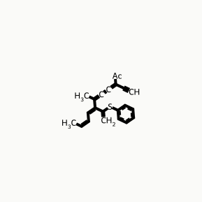 C#CC(=C=C=C(C)/C(=C/C=C\C)C(=C)Sc1ccccc1)C(C)=O